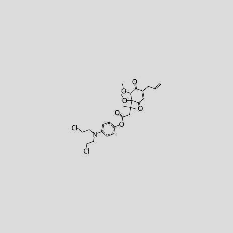 C=CCC1=CC(=O)C(OC)(C(C)(C)CC(=O)Oc2ccc(N(CCCl)CCCl)cc2)C(OC)C1=O